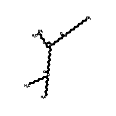 CCCCCCCCCCCOC(=O)CCCCCN1CC(OCCCN(C)C)CC1COCCCCCCCC(=O)OC(CCCCCCCC)CCCCCCCC